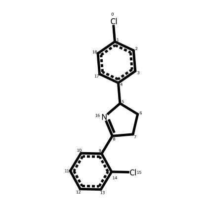 Clc1ccc(C2CCC(c3ccccc3Cl)=N2)cc1